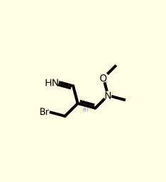 CON(C)/C=C(\C=N)CBr